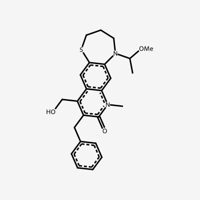 COC(C)N1CCCSc2cc3c(CO)c(Cc4ccccc4)c(=O)n(C)c3cc21